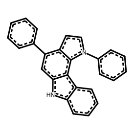 c1ccc(-c2cc3[nH]c4ccccc4c3c3c2ccn3-c2ccccc2)cc1